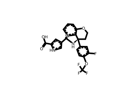 O=C(N[C@]1(c2ccc(OC(F)(F)F)c(F)c2)CCOc2cccnc21)c1c[nH]c(C(=O)O)c1